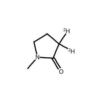 [2H]C1([2H])CCN(C)C1=O